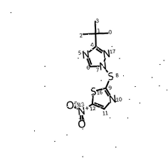 CC(C)(C)c1ncn(Sc2ncc([N+](=O)[O-])s2)n1